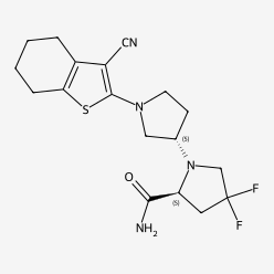 N#Cc1c(N2CC[C@H](N3CC(F)(F)C[C@H]3C(N)=O)C2)sc2c1CCCC2